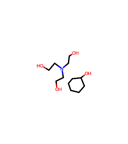 OC1CCCCC1.OCCN(CCO)CCO